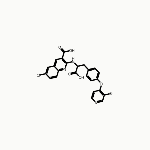 O=C(O)c1cc2cc(Cl)ccc2nc1NC(Cc1ccc(Oc2ccncc2Br)cc1)C(=O)O